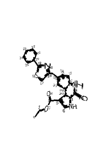 CCOC(=O)c1c[nH]c2c(=O)[nH]c3ccc(-c4csc(-c5ccccc5)n4)cc3c12